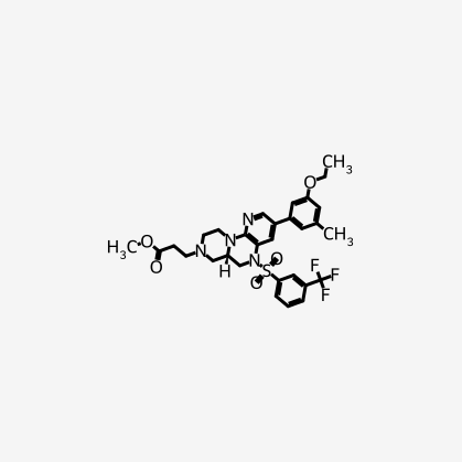 CCOc1cc(C)cc(-c2cnc3c(c2)N(S(=O)(=O)c2cccc(C(F)(F)F)c2)C[C@@H]2CN(CCC(=O)OC)CCN32)c1